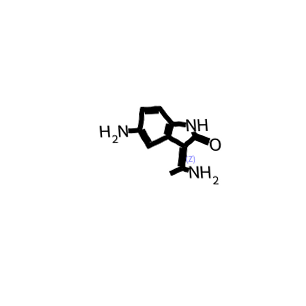 C/C(N)=C1/C(=O)Nc2ccc(N)cc21